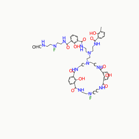 Cc1cccc(C(=O)NCCN(CCNC(=O)c2cccc(C(=O)NCCN(F)CCNC=O)c2O)CCN2CCNC(=O)c3cccc(c3O)C(=O)NCCN(F)CCNC(=O)c3cccc(c3O)C(=O)NCC2)c1O